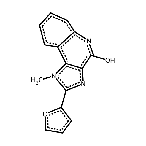 Cn1c(-c2ccco2)nc2c(O)nc3ccccc3c21